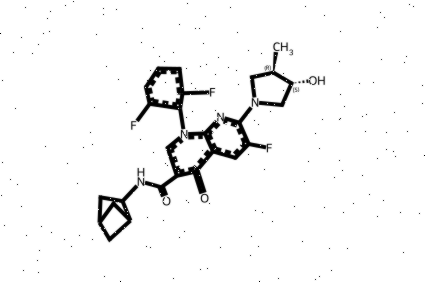 C[C@@H]1CN(c2nc3c(cc2F)c(=O)c(C(=O)NC2CC4CC2C4)cn3-c2c(F)cccc2F)C[C@H]1O